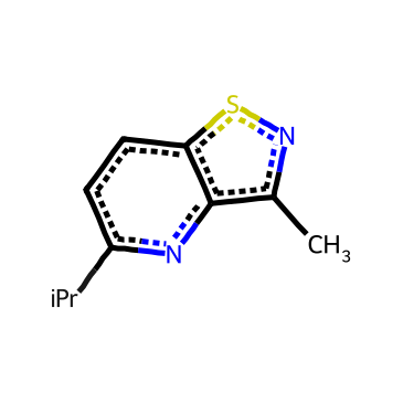 Cc1nsc2ccc(C(C)C)nc12